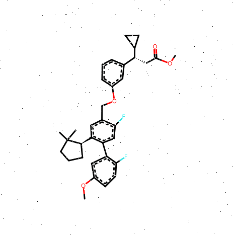 COC(=O)C[C@H](c1cccc(OCc2cc([C@H]3CCCC3(C)C)c(-c3cc(OC)ccc3F)cc2F)c1)C1CC1